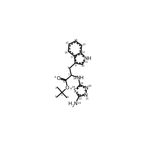 CC(C)(C)OC(=O)C(Cc1c[nH]c2ccccc12)Nc1nnc(N)s1